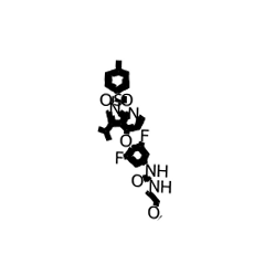 COCCNC(=O)Nc1cc(F)c(Oc2ccnc3c2c(C(C)C)cn3S(=O)(=O)c2ccc(C)cc2)c(F)c1